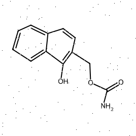 NC(=O)OCc1ccc2ccccc2c1O